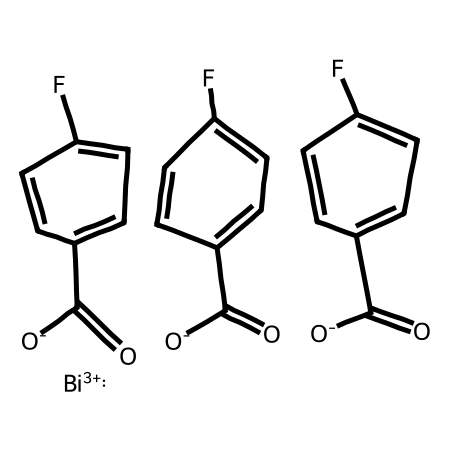 O=C([O-])c1ccc(F)cc1.O=C([O-])c1ccc(F)cc1.O=C([O-])c1ccc(F)cc1.[Bi+3]